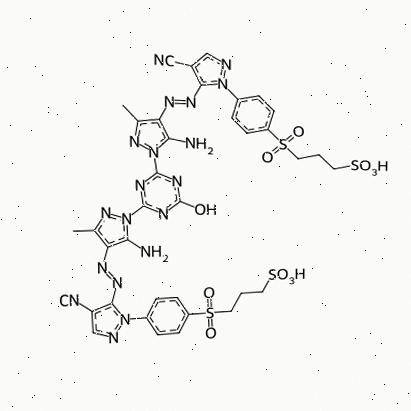 [C-]#[N+]c1cnn(-c2ccc(S(=O)(=O)CCCS(=O)(=O)O)cc2)c1N=Nc1c(C)nn(-c2nc(O)nc(-n3nc(C)c(N=Nc4c(C#N)cnn4-c4ccc(S(=O)(=O)CCCS(=O)(=O)O)cc4)c3N)n2)c1N